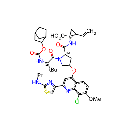 C=CC1C[C@]1(NC(=O)[C@@H]1CC(Oc2cc(-c3csc(NC(C)C)n3)nc3c(Cl)c(OC)ccc23)CN1C(=O)[C@@H](NC(=O)OC1CC2CCC1C2)C(C)(C)C)C(=O)O